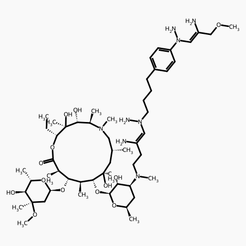 CC[C@H]1OC(=O)[C@H](C)[C@@H](O[C@H]2C[C@@](C)(OC)[C@@H](O)[C@H](C)O2)[C@H](C)[C@@H](O[C@@H]2O[C@H](C)C[C@H](N(C)CC/C(N)=C/N(N)CCCCc3ccc(N(N)/C=C(\N)COC)cc3)[C@H]2O)[C@](C)(O)C[C@@H](C)CN(C)[C@H](C)[C@@H](O)[C@]1(C)O